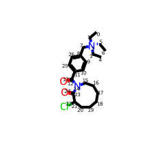 CC[N+](CC)(CC)Cc1ccc(C(=O)N2CCCCCCC(Cl)C2=O)cc1